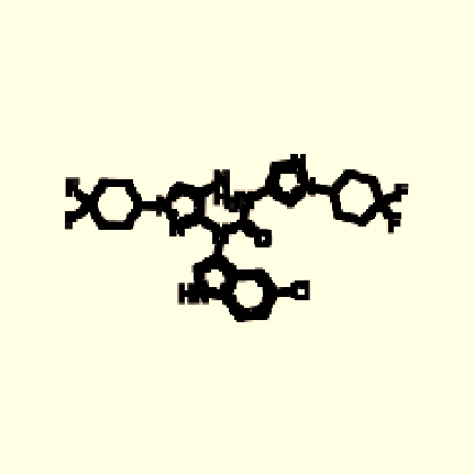 Nc1cn(C2CCC(F)(F)CC2)nc1N(C(=O)Nc1cnn(C2CCC(F)(F)CC2)c1)c1c[nH]c2ccc(Cl)cc12